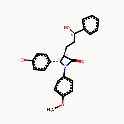 COc1ccc(N2C(=O)[C@H](CC[C@@H](O)c3ccccc3)[C@H]2c2ccc(O)cc2)cc1